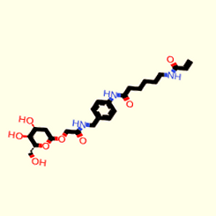 C=CC(=O)NCCCCCC(=O)Nc1ccc(CNC(=O)COC2C[C@@H](O)[C@H](O)[C@@H](CO)O2)cc1